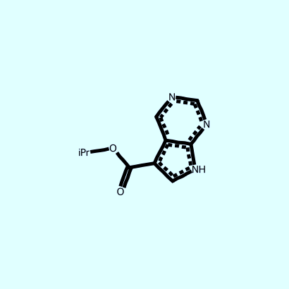 CC(C)OC(=O)c1c[nH]c2ncncc12